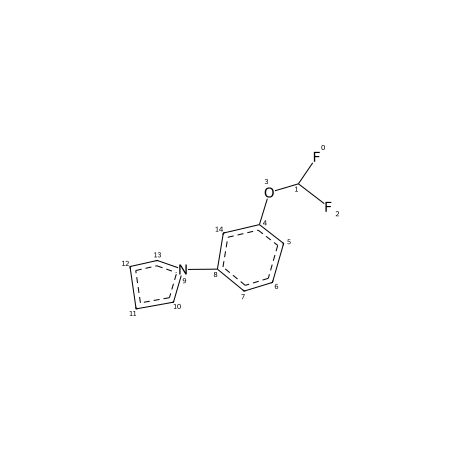 FC(F)Oc1cccc(-n2cccc2)c1